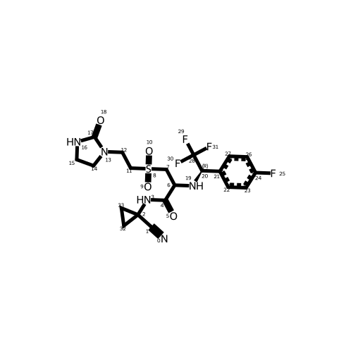 N#CC1(NC(=O)C(CS(=O)(=O)CCN2CCNC2=O)N[C@H](c2ccc(F)cc2)C(F)(F)F)CC1